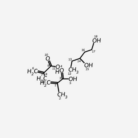 C=C(C)C(=O)O.C=C(C)C(=O)O.CCC(O)CCO